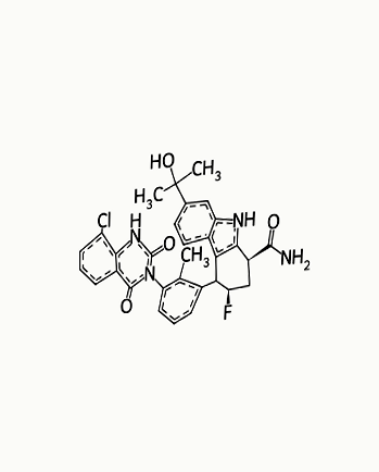 Cc1c(C2c3c([nH]c4cc(C(C)(C)O)ccc34)[C@@H](C(N)=O)C[C@H]2F)cccc1-n1c(=O)[nH]c2c(Cl)cccc2c1=O